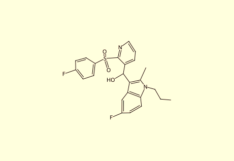 CCCn1c(C)c(C(O)c2cccnc2S(=O)(=O)c2ccc(F)cc2)c2cc(F)ccc21